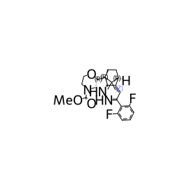 COC(=O)N1CCO[C@H]([C@@]23CC[C@@H](/C(=C/C(=N)c4c(F)cccc4F)C2=N)C3(C)C)C1